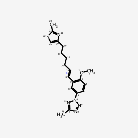 COc1ccc(-n2nnc(C)n2)cc1/C=C/CCCCc1csc(C)n1